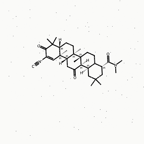 [C-]#[N+]C1=C[C@]2(C)[C@H]3CC(=O)[C@@H]4[C@@H]5CC(C)(C)C[C@@H](C(=O)N(C)C)C5CC[C@@]4(C)[C@]3(C)CC[C@H]2C(C)(C)C1=O